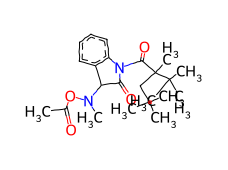 CC(=O)ON(C)C1C(=O)N(C(=O)C(C)(CC(C)(C)C)C(C)(C)C)c2ccccc21